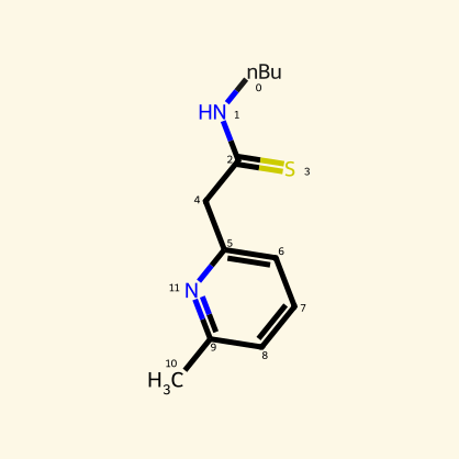 CCCCNC(=S)Cc1cccc(C)n1